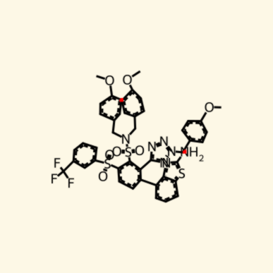 COc1ccc(CN(Cc2ccc(OC)cc2)S(=O)(=O)c2c(S(=O)(=O)c3cccc(C(F)(F)F)c3)ccc(-c3cccc4sc(N)nc34)c2-c2nnn(Cc3ccc(OC)cc3)n2)cc1